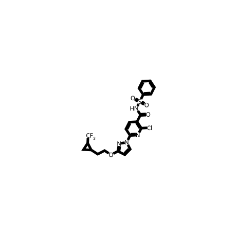 O=C(NS(=O)(=O)c1ccccc1)c1ccc(-n2ccc(OCCC3CC3C(F)(F)F)n2)nc1Cl